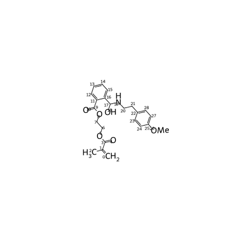 C=C(C)C(=O)OCCOC(=O)c1ccccc1C(O)NCCc1ccc(OC)cc1